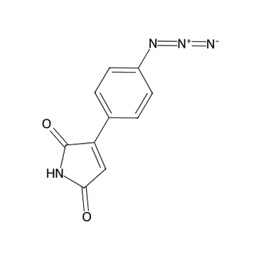 [N-]=[N+]=Nc1ccc(C2=CC(=O)NC2=O)cc1